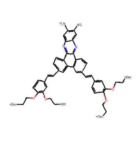 CCCCCCCCCCCCOc1ccc(/C=C/c2ccc3c(c2)c2cc(/C=C/c4ccc(OCCCCCCCCCCCC)c(OCCCCCCCCCCCC)c4)ccc2c2nc4cc([N+](=O)[O-])c([N+](=O)[O-])cc4nc32)cc1OCCCCCCCCCCCC